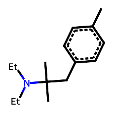 CCN(CC)C(C)(C)Cc1ccc(C)cc1